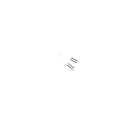 [Cu].[La].[O]=[Fe].[O]=[GaH].[SrH2]